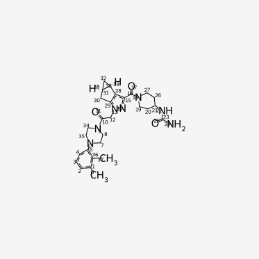 Cc1cccc(N2CCN(C(=O)Cn3nc(C(=O)N4CCC(NC(N)=O)CC4)c4c3C[C@H]3C[C@@H]43)CC2)c1C